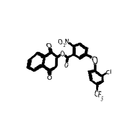 O=C1C=C(OC(=O)c2cc(Oc3ccc(C(F)(F)F)cc3Cl)ccc2[N+](=O)[O-])C(=O)c2ccccc21